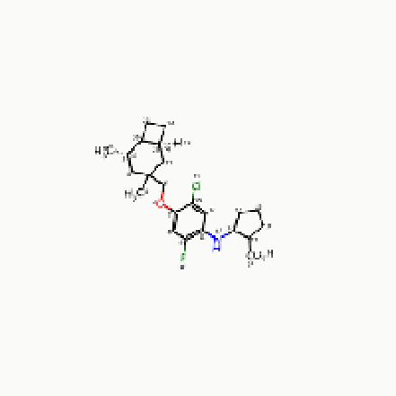 C[C@H]1CC(C)(COc2cc(F)c(NC3CCCC3C(=O)O)cc2Cl)C[C@@H]2CCC21